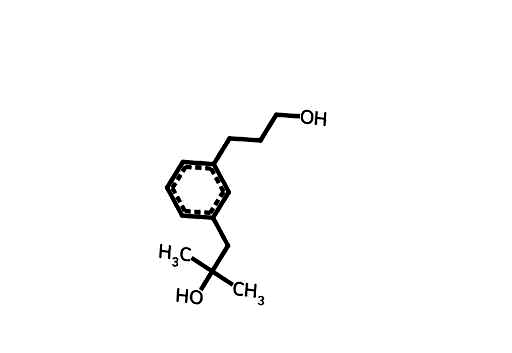 CC(C)(O)Cc1cccc(CCCO)c1